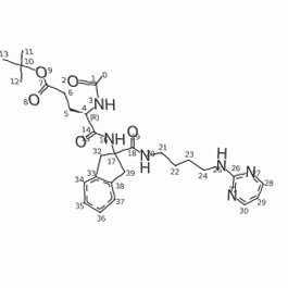 CC(=O)N[C@H](CCC(=O)OC(C)(C)C)C(=O)NC1(C(=O)NCCCCNc2ncccn2)Cc2ccccc2C1